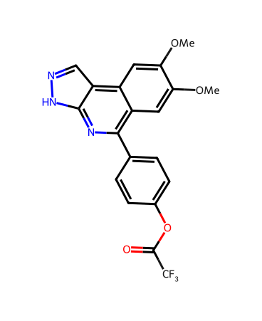 COc1cc2c(-c3ccc(OC(=O)C(F)(F)F)cc3)nc3[nH]ncc3c2cc1OC